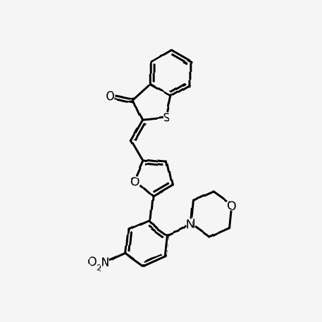 O=C1C(=Cc2ccc(-c3cc([N+](=O)[O-])ccc3N3CCOCC3)o2)Sc2ccccc21